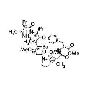 CCC(C)[C@@H]([C@@H](CC(=O)N1CCC[C@H]1[C@H](OC)[C@@H](C)C(=O)NC(Cc1ccccc1)C(=O)OC)OC)N(C)C(=O)[C@@H](NC(=O)[C@H](C(C)C)N(C)N)C(C)C